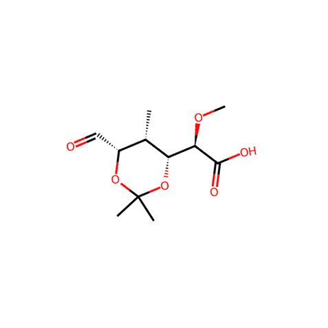 CO[C@@H](C(=O)O)[C@@H]1OC(C)(C)O[C@H](C=O)[C@@H]1C